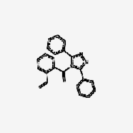 C=Cc1ccccc1C(=C)n1c(-c2ccccc2)nnc1-c1ccccc1